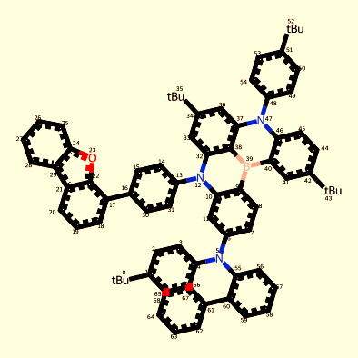 CC(C)(C)c1ccc(N(c2ccc3c(c2)N(c2ccc(-c4cccc5c4oc4ccccc45)cc2)c2cc(C(C)(C)C)cc4c2B3c2cc(C(C)(C)C)ccc2N4c2ccc(C(C)(C)C)cc2)c2ccccc2-c2ccccc2)cc1